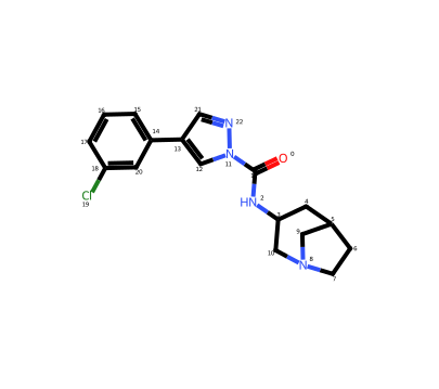 O=C(NC1CC2CCN(C2)C1)n1cc(-c2cccc(Cl)c2)cn1